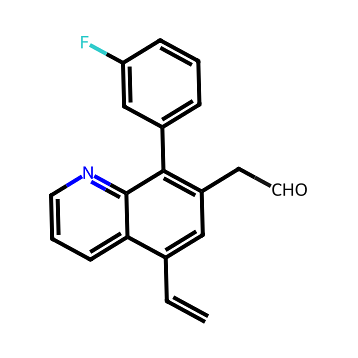 C=Cc1cc(CC=O)c(-c2cccc(F)c2)c2ncccc12